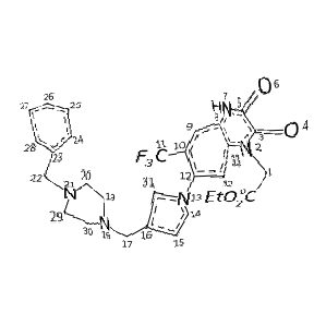 CCOC(=O)Cn1c(=O)c(=O)[nH]c2cc(C(F)(F)F)c(-n3ccc(CN4CCN(Cc5ccccc5)CC4)c3)cc21